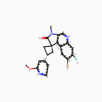 COc1cc([C@H]2C[C@@]3(C2)C(=O)N(C)c2cnc4cc(F)c(Br)cc4c23)ccn1